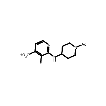 CC(=O)N1CCC(Nc2nccc(C(=O)O)c2F)CC1